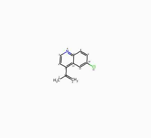 C=C(C)c1ccnc2ccc(Cl)cc12